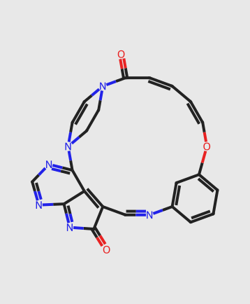 O=c1nc2ncnc3c2=c1cnc1cccc(c1)occccc(=O)n1ccn3CC1